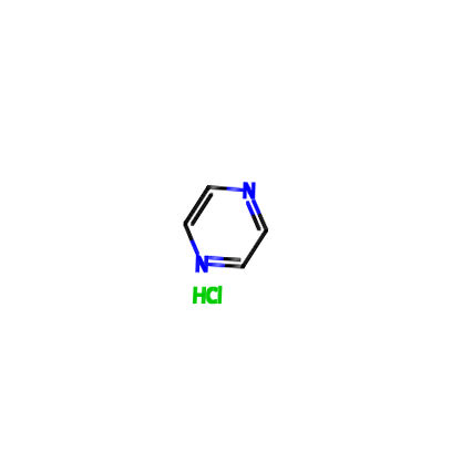 Cl.c1cnccn1